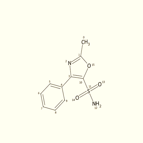 Cc1nc(-c2ccccc2)c(S(N)(=O)=O)o1